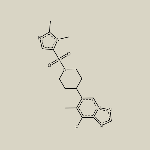 Cc1c(C2CCN(S(=O)(=O)c3cnc(C)n3C)CC2)cn2ncnc2c1F